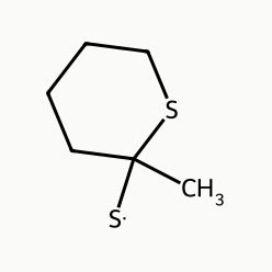 CC1([S])CCCCS1